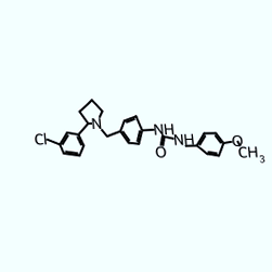 COc1ccc(CNC(=O)Nc2ccc(CN3CCCC3c3cccc(Cl)c3)cc2)cc1